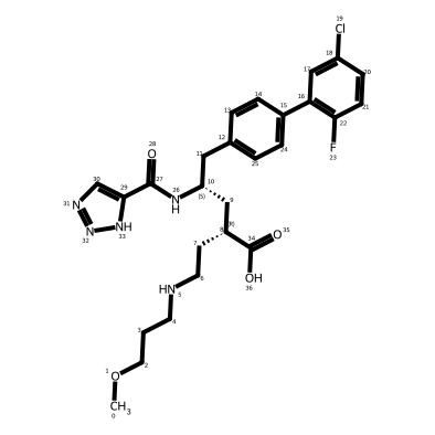 COCCCNCC[C@H](C[C@@H](Cc1ccc(-c2cc(Cl)ccc2F)cc1)NC(=O)c1cnn[nH]1)C(=O)O